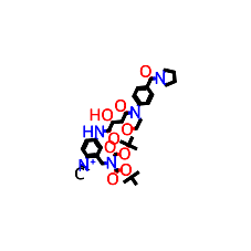 [C-]#[N+]c1ccc(NC(=O)[C@H](O)[C@H]2OCCN(c3ccc(C(=O)N4CCCC4)cc3)C2=O)cc1CN(C(=O)OC(C)(C)C)C(=O)OC(C)(C)C